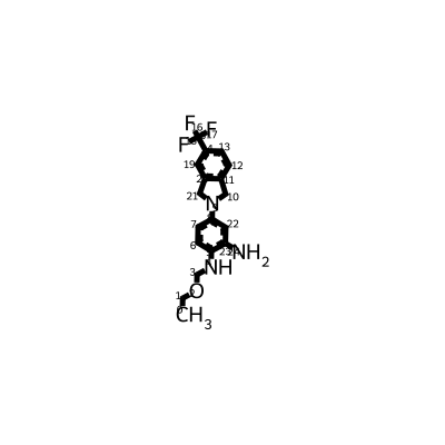 CCOCNc1ccc(N2Cc3ccc(C(F)(F)F)cc3C2)cc1N